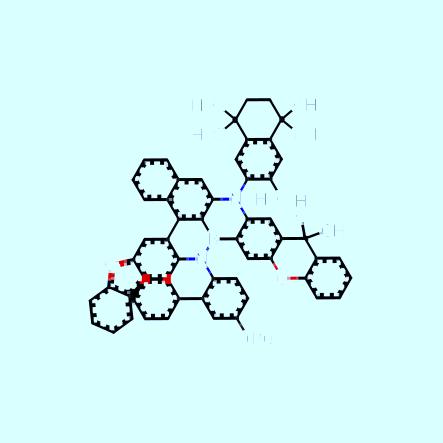 Cc1cc2c(cc1N1c3cc4c(cc3B3c5c1cc1ccccc1c5-c1cc5oc6ccccc6c5cc1N3c1ccc(C(C)(C)C)cc1-c1ccccc1)Oc1ccccc1C4(C)C)C(C)(C)CCC2(C)C